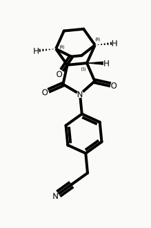 N#CCc1ccc(N2C(=O)C3[C@@H](C2=O)[C@@H]2CC[C@H]3C(=O)C2)cc1